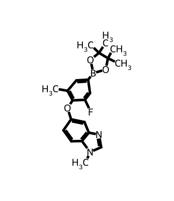 Cc1cc(B2OC(C)(C)C(C)(C)O2)cc(F)c1Oc1ccc2c(c1)ncn2C